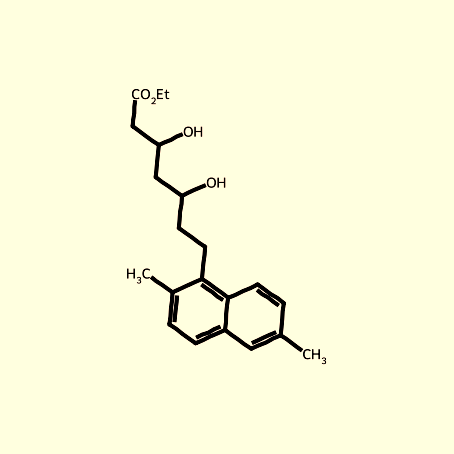 CCOC(=O)CC(O)CC(O)CCc1c(C)ccc2cc(C)ccc12